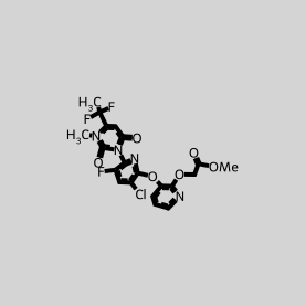 COC(=O)COc1ncccc1Oc1nc(-n2c(=O)cc(C(C)(F)F)n(C)c2=O)c(F)cc1Cl